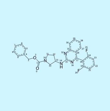 O=C(OCc1ccccc1)N1CCC(Nc2nc(-c3c(F)cccc3F)c3ccccc3n2)C1